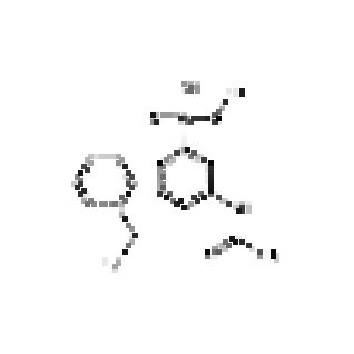 CC(=O)Nc1cccc([As](=O)(O)OO)c1.CCc1ccccc1